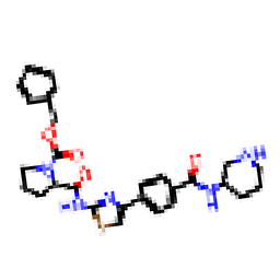 O=C(NC1CCCNC1)c1ccc(-c2csc(NC(=O)C3CCCN3C(=O)OCc3ccccc3)n2)cc1